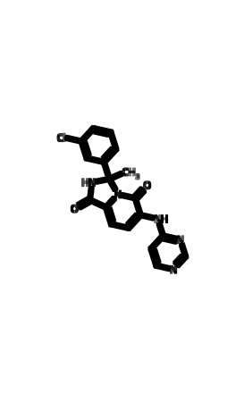 CC1(c2cccc(Cl)c2)NC(=O)c2ccc(Nc3ccncn3)c(=O)n21